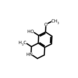 COc1ccc2c(c1O)C(C)NCC2